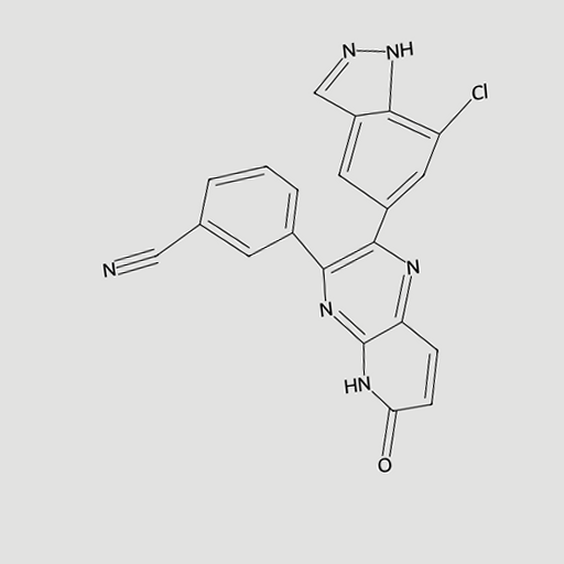 N#Cc1cccc(-c2nc3[nH]c(=O)ccc3nc2-c2cc(Cl)c3[nH]ncc3c2)c1